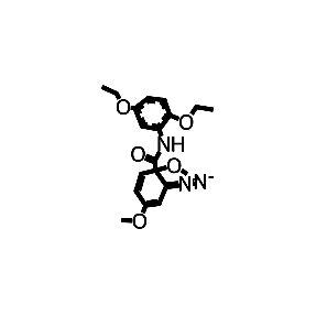 CCOc1ccc(OCC)c(NC(=O)C2(OC)C=CC(OC)=CC2=[N+]=[N-])c1